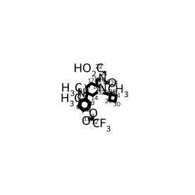 CN(C)[C@]1(c2cccc(OC(=O)C(F)(F)F)c2)CC[C@]2(CC1)CN(CC(=O)O)C(=O)N2CC1(C)CCC1